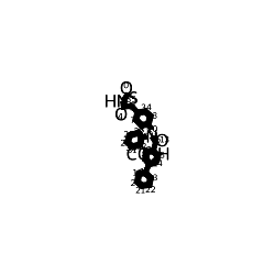 O=C1NC(=O)C(c2ccc(CN(C(=O)c3ccc(-c4ccccc4)cc3)c3cccc(C(=O)O)c3)cc2)S1